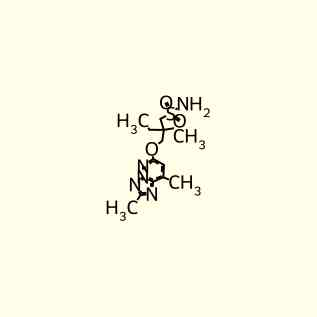 CCC(CC)(COc1cc(C)c2nc(C)nn2n1)CS(N)(=O)=O